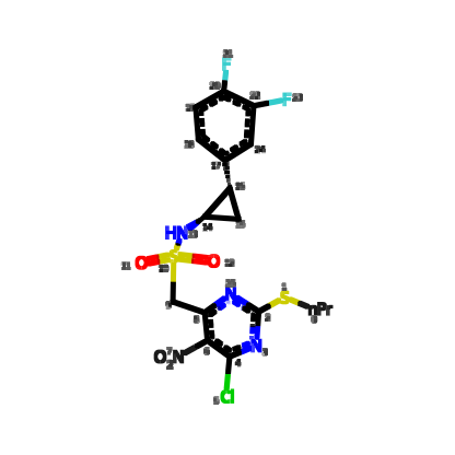 CCCSc1nc(Cl)c([N+](=O)[O-])c(CS(=O)(=O)N[C@@H]2C[C@H]2c2ccc(F)c(F)c2)n1